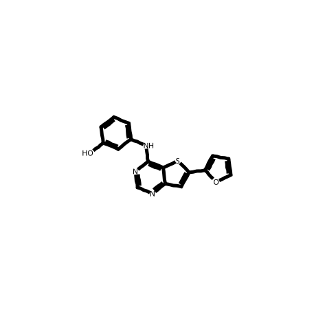 Oc1cccc(Nc2ncnc3cc(-c4ccco4)sc23)c1